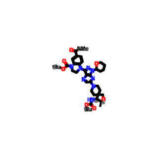 CNC(=O)c1ccc2c(c1)N(C(=O)OC(C)(C)C)CCN2c1nn(C2CCCCO2)c2nc(N3CCC4(CC3)CO[C@@H](C)[C@H]4NC(=O)OC(C)(C)C)cnc12